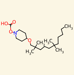 CCCCCC(C)(C)CCCC(C)(C)COC1CCN(OC(=O)O)CC1